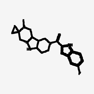 CN1CC2C3CN(C(=O)c4cc5cc(F)ccc5[nH]4)CCC3NN2CC12CC2